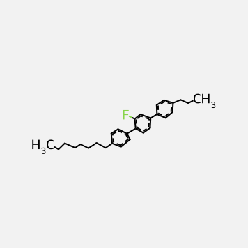 CCCCCCCCc1ccc(-c2ccc(-c3ccc(CCC)cc3)cc2F)cc1